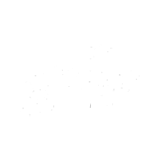 CC[C@H]1OC(c2cc(O)c(Cl)c(CO[Si](c3ccccc3)(c3ccccc3)C(C)(C)C)c2)[C@H](OCc2ccccc2)[C@@H](OCc2ccccc2)[C@@H]1C